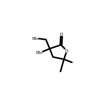 CC(C)(C)CC1(C(C)(C)C)CC(C)(C)OC1=O